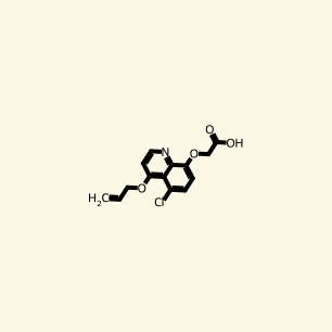 C=CCOc1ccnc2c(OCC(=O)O)ccc(Cl)c12